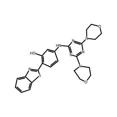 Oc1cc(Nc2nc(N3CCOCC3)nc(N3CCOCC3)n2)ccc1-c1nc2ccccc2s1